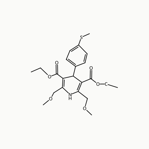 CCOC(=O)C1=C(COC)NC(COC)=C(C(=O)OCC)C1c1ccc(SC)cc1